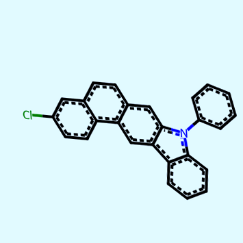 Clc1ccc2c(ccc3cc4c(cc32)c2ccccc2n4-c2ccccc2)c1